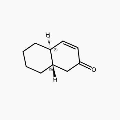 O=C1C=C[C@@H]2CCCC[C@H]2C1